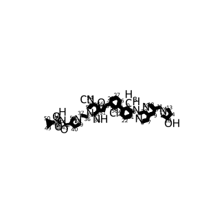 Cc1c(Nc2nccc3cc(CN4CC[C@@H](O)C4)cnc23)cccc1-c1cccc(-c2cc3c(=N)n(CCN4CC[C@@H](C(=O)NS(=O)(=O)C5CC5)C4)cc(C#N)c3o2)c1Cl